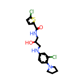 O=C(NCC(O)CNc1ccc(N2CCCC2)c(Cl)c1)c1ccc(Cl)s1